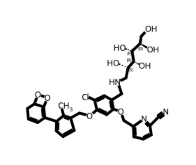 Cc1c(COc2cc(OCc3cccc(C#N)n3)c(CNC[C@H](O)[C@@H](O)[C@H](O)[C@H](O)CO)cc2Cl)cccc1C1=C2OOC2CC=C1